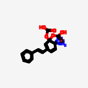 NC1(N)C=CC(C=Cc2ccccc2)=CC1(OC(=O)O)OC(=O)O